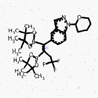 CC1(C)OB(/C(CC(F)(F)F)=C(\B2OC(C)(C)C(C)(C)O2)c2ccc3c(cnn3C3CCCCO3)c2)OC1(C)C